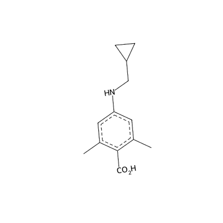 Cc1cc(NCC2CC2)cc(C)c1C(=O)O